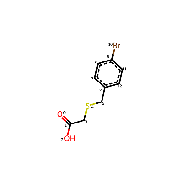 O=C(O)CSCc1ccc(Br)cc1